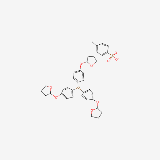 Cc1ccc(S(=O)(=O)[O-])cc1.c1cc([S+](c2ccc(OC3CCCO3)cc2)c2ccc(OC3CCCO3)cc2)ccc1OC1CCCO1